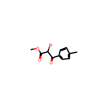 COC(=O)C(Br)C(=O)c1ccc(C)cc1